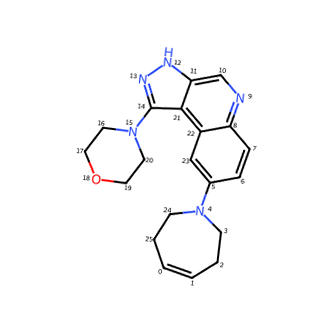 C1=CCCN(c2ccc3ncc4[nH]nc(N5CCOCC5)c4c3c2)CC1